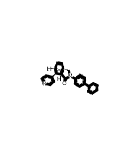 O=C1[C@H]2[C@@H](c3ccncc3)[C@H]3C=C[C@]2(CN1c1ccc(-c2ccccc2)cc1)O3